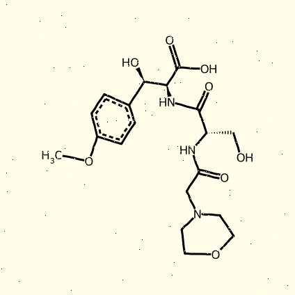 COc1ccc([C@@H](O)[C@H](NC(=O)[C@H](CO)NC(=O)CN2CCOCC2)C(=O)O)cc1